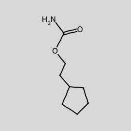 NC(=O)OCCC1CCCC1